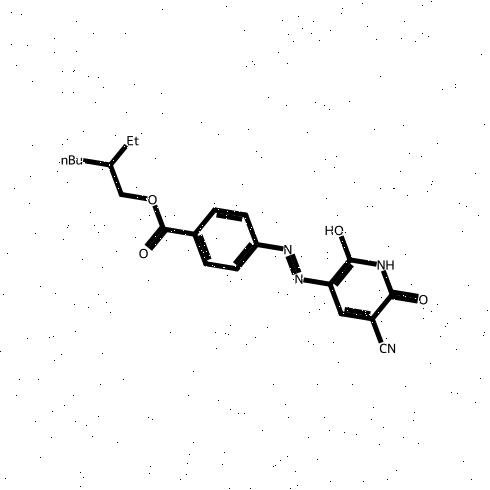 CCCCC(CC)COC(=O)c1ccc(/N=N/c2cc(C#N)c(=O)[nH]c2O)cc1